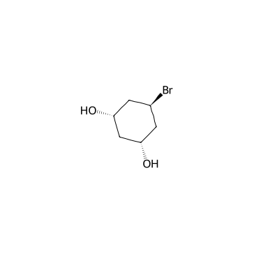 O[C@@H]1C[C@H](O)C[C@@H](Br)C1